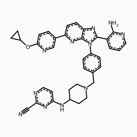 N#Cc1nccc(NC2CCN(Cc3ccc(-n4c(-c5cccnc5N)nc5ccc(-c6ccc(OC7CC7)nc6)nc54)cc3)CC2)n1